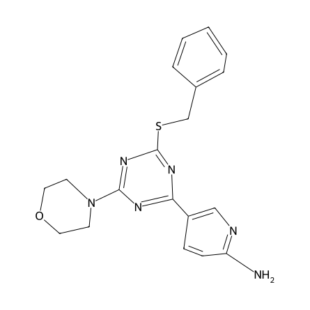 Nc1ccc(-c2nc(SCc3ccccc3)nc(N3CCOCC3)n2)cn1